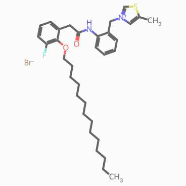 CCCCCCCCCCCCCCOc1c(F)cccc1CC(=O)Nc1ccccc1C[n+]1csc(C)c1.[Br-]